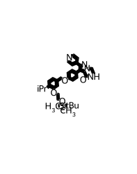 CC(C)c1ccc(COc2ccc(-c3c(-c4ccncc4)nn4c3C(=O)NCC4)cc2)cc1OCCO[Si](C)(C)C(C)(C)C